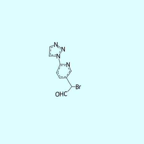 O=CC(Br)c1ccc(-n2ccnn2)nc1